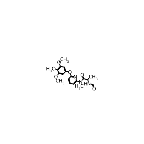 COc1cc(Oc2cccc(N(C)C(=O)C(C)NC=O)n2)cc(OC)c1C